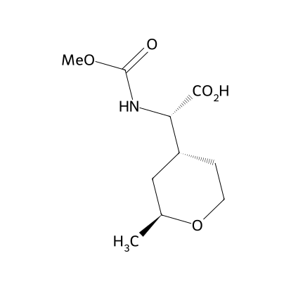 COC(=O)N[C@H](C(=O)O)[C@@H]1CCO[C@@H](C)C1